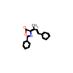 CC(C=Cc1ccccc1)=C1N=C(c2ccccc2)OC1=O